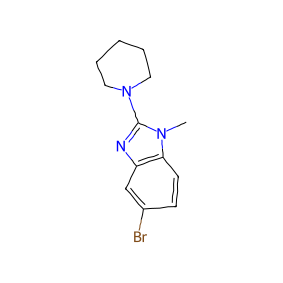 Cn1c(N2CCCCC2)nc2cc(Br)ccc21